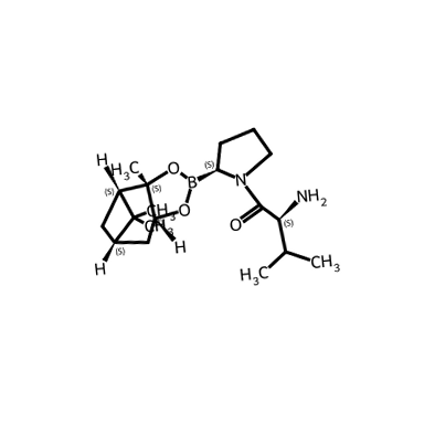 CC(C)[C@H](N)C(=O)N1CCC[C@@H]1B1O[C@@H]2C[C@@H]3C[C@@H](C3(C)C)[C@]2(C)O1